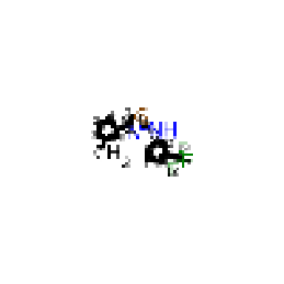 Cc1cccc(-c2csc(Nc3cccc(C(F)(F)F)c3)n2)c1